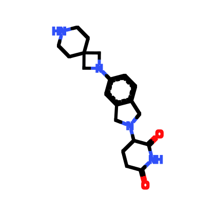 O=C1CCC(N2Cc3ccc(N4CC5(CCNCC5)C4)cc3C2)C(=O)N1